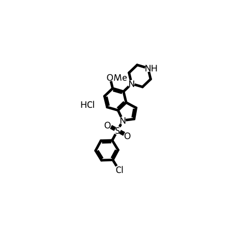 COc1ccc2c(ccn2S(=O)(=O)c2cccc(Cl)c2)c1N1CCNCC1.Cl